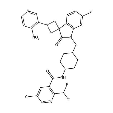 O=C(NC1CCC(CN2C(=O)C3(CN(c4cnccc4[N+](=O)[O-])C3)c3ccc(F)cc32)CC1)c1cc(Cl)cnc1C(F)F